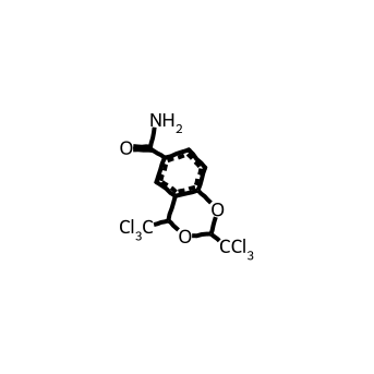 NC(=O)c1ccc2c(c1)C(C(Cl)(Cl)Cl)OC(C(Cl)(Cl)Cl)O2